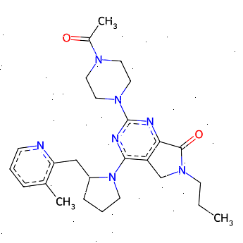 CCCN1Cc2c(nc(N3CCN(C(C)=O)CC3)nc2N2CCCC2Cc2ncccc2C)C1=O